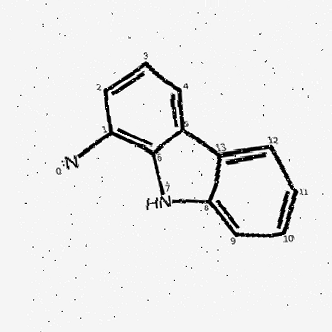 [N]c1cccc2c1[nH]c1ccccc12